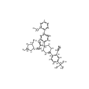 COc1ccccc1-c1ccc(C2(C(=O)N[C@@H]3CN(C)C[C@H]3F)CCN(c3ccc(C(F)(F)F)cc3C#N)CC2)cn1